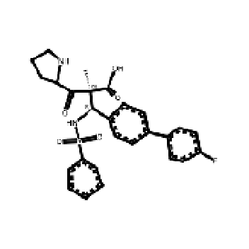 C[C@@](C(=O)O)(C(=O)C1CCCN1)[C@H](NS(=O)(=O)c1ccccc1)c1ccc(-c2ccc(F)cc2)cc1